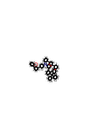 c1ccc(-c2ccc(-c3ccccc3N(c3ccc(-c4cccc5c4oc4ccccc45)cc3)c3cccc(-c4cccc5c4-c4ccccc4C5(c4ccccc4)c4ccccc4)c3)cc2)cc1